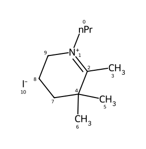 CCC[N+]1=C(C)C(C)(C)CCC1.[I-]